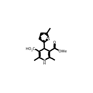 COC(=O)C1=C(C)NC(C)=C(C(=O)O)C1c1ccc(C)s1